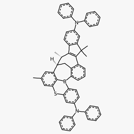 Cc1cc2c3c(c1)[C@@H]1Cc4c(cccc4C4=C(c5ccc(N(c6ccccc6)c6ccccc6)cc5C4(C)C)[C@H]1C)B3c1ccc(N(c3ccccc3)c3ccccc3)cc1S2